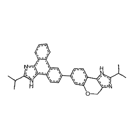 CC(C)c1nc2c([nH]1)-c1ccc(-c3ccc4c(c3)c3ccccc3c3nc(C(C)C)[nH]c43)cc1OC2